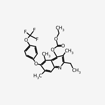 CCOC(=O)Oc1c(C)c(CC)nc2cc(C)c(Oc3ccc(OC(F)(F)F)cc3)c(C)c12